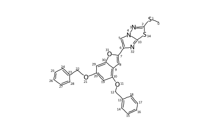 CSc1nn2cc(-c3cc4c(OCc5ccccc5)cc(OCc5ccccc5)cc4o3)nc2s1